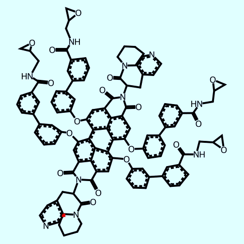 O=C(NCC1CO1)c1cccc(-c2cccc(Oc3cc4c5c(cc(Oc6cccc(-c7cccc(C(=O)NCC8CO8)c7)c6)c6c7c(Oc8cccc(-c9cccc(C(=O)NCC%10CO%10)c9)c8)cc8c9c(cc(Oc%10cccc(-c%11cccc(C(=O)NCC%12CO%12)c%11)c%10)c(c3c56)c97)C(=O)N(C(Cc3ccncc3)C(=O)N3CCCCC3)C8=O)C(=O)N(C(Cc3ccncc3)C(=O)N3CCCCC3)C4=O)c2)c1